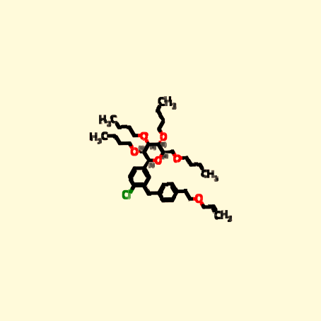 C=CCOCCc1ccc(Cc2cc([C@@H]3O[C@H](COCCCC)[C@@H](OCCCC)[C@H](OCCCC)[C@H]3OCCCC)ccc2Cl)cc1